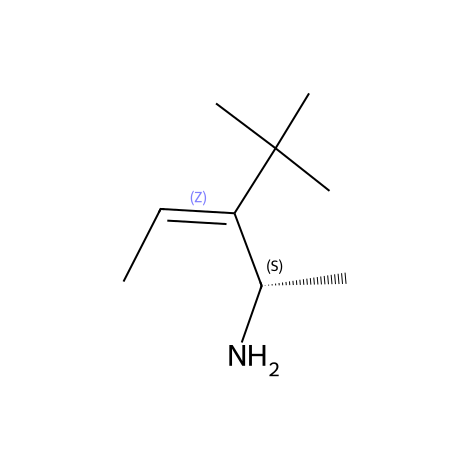 C/C=C(\[C@H](C)N)C(C)(C)C